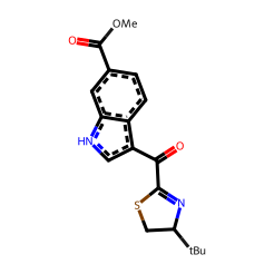 COC(=O)c1ccc2c(C(=O)C3=NC(C(C)(C)C)CS3)c[nH]c2c1